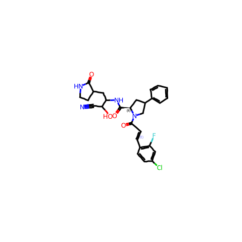 N#CC(O)C(CC1CCNC1=O)NC(=O)[C@H]1CC(c2ccccc2)CN1C(=O)/C=C/c1ccc(Cl)cc1F